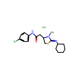 CCCN1/C(=N/C2CCCCC2)SCC1CC(=O)Nc1ccc(Br)cc1.Cl